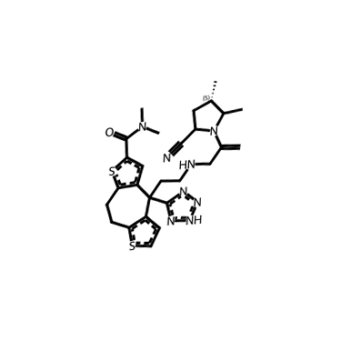 C=C(CNCCC1(c2nn[nH]n2)c2ccsc2CCc2sc(C(=O)N(C)C)cc21)N1C(C#N)C[C@H](C)C1C